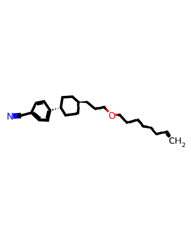 C=CCCCCCCOCCC[C@H]1CC[C@H](c2ccc(C#N)cc2)CC1